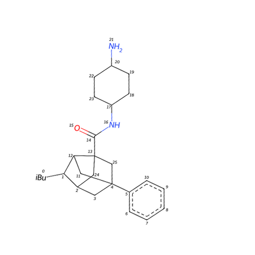 CCC(C)C1C2CC3(c4ccccc4)CC1C(C(=O)NC1CCC(N)CC1)(C2)C3